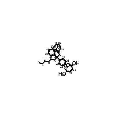 CCCCCCC(CC1CC2CCN1CC2)(c1ccccc1)c1ccccc1.O=C(O)/C=C\C(=O)O